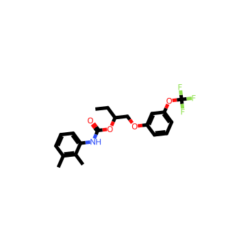 CCC(COc1cccc(OC(F)(F)F)c1)OC(=O)Nc1cccc(C)c1C